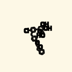 OCC1OC(c2ccc(Cl)c(Cc3ccc(OCC4Cc5ccccc5O4)cc3)c2)CC(O)[C@@H]1O